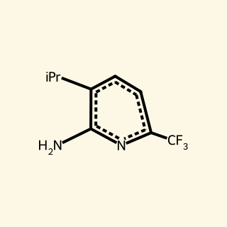 CC(C)c1ccc(C(F)(F)F)nc1N